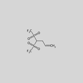 C=CCC(S(=O)(=O)C(F)(F)F)S(=O)(=O)C(F)(F)F